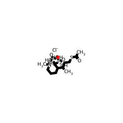 CC(=O)SCCC(C)C1CCC[N+](C)(C)C1(P(=O)(O)O)P(=O)(O)O.[Cl-]